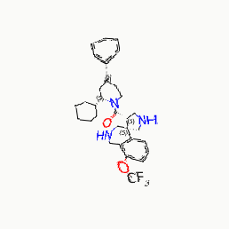 O=C([C@@H]1CNC[C@]12CNCc1c(OC(F)(F)F)cccc12)N1CC[C@@H](c2ccccc2)C[C@H]1C1CCCCC1